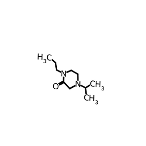 CCCN1CCN(C(C)C)CC1=O